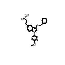 COc1ccc(-n2cc(CCc3ccccc3)c3cc(CCC(=O)O)ccc32)cn1